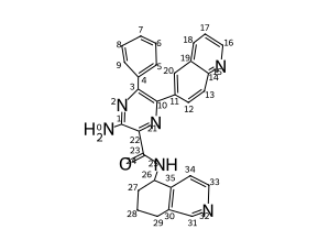 Nc1nc(-c2ccccc2)c(-c2ccc3ncccc3c2)nc1C(=O)NC1CCCc2cnccc21